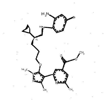 COC(=O)c1cc(C)nc(-c2c(C)nn(C)c2OCCC[C@H](CNc2ccc(Br)cc2N)C2CC2)c1